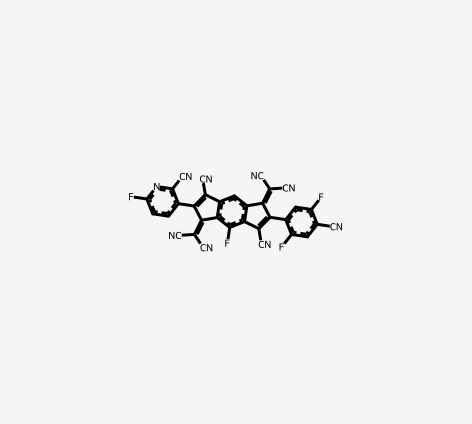 N#CC(C#N)=C1C(c2cc(F)c(C#N)cc2F)=C(C#N)c2c1cc1c(c2F)C(=C(C#N)C#N)C(c2ccc(F)nc2C#N)=C1C#N